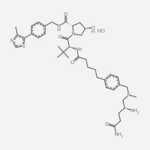 Cc1ncsc1-c1ccc(CNC(=O)[C@@H]2C[C@@H](O)CN2C(=O)[C@@H](NC(=O)CCCCc2ccc(CN(C)C[C@@H](N)CCC(N)=O)cc2)C(C)(C)C)cc1.Cl